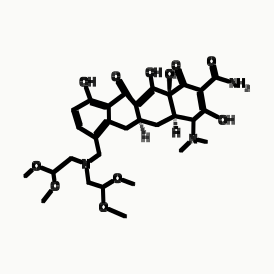 COC(CN(Cc1ccc(O)c2c1C[C@@H]1C[C@@H]3C(N(C)C)C(O)=C(C(N)=O)C(=O)[C@@]3(O)C(O)=C1C2=O)CC(OC)OC)OC